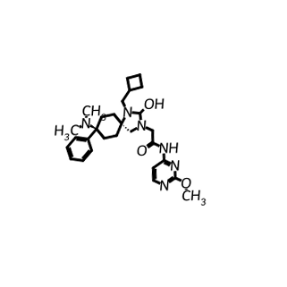 COc1nccc(NC(=O)CN2C[C@]3(CC[C@](c4ccccc4)(N(C)C)CC3)N(CC3CCC3)C2O)n1